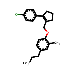 Cc1cc(CCC(=O)O)ccc1OCC1=C(c2ccc(Cl)cc2)CCC1